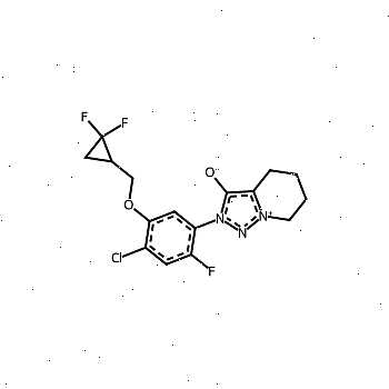 [O-]c1c2[n+](nn1-c1cc(OCC3CC3(F)F)c(Cl)cc1F)CCCC2